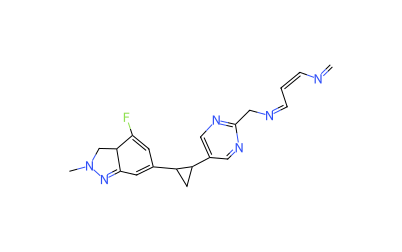 C=N/C=C\C=N/Cc1ncc(C2CC2C2=CC3=NN(C)CC3C(F)=C2)cn1